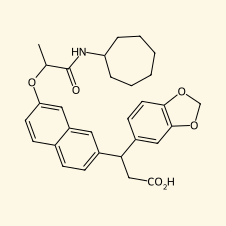 CC(Oc1ccc2ccc(C(CC(=O)O)c3ccc4c(c3)OCO4)cc2c1)C(=O)NC1CCCCCC1